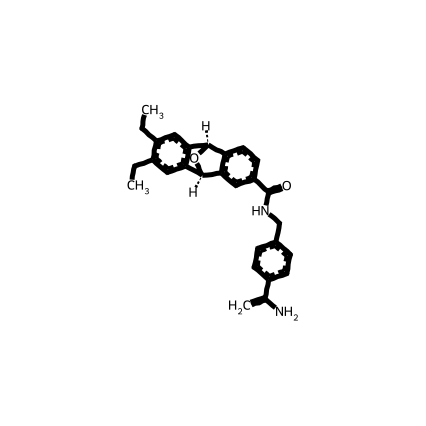 C=C(N)c1ccc(CNC(=O)c2ccc3c(c2)[C@@H]2O[C@H]3c3cc(CC)c(CC)cc32)cc1